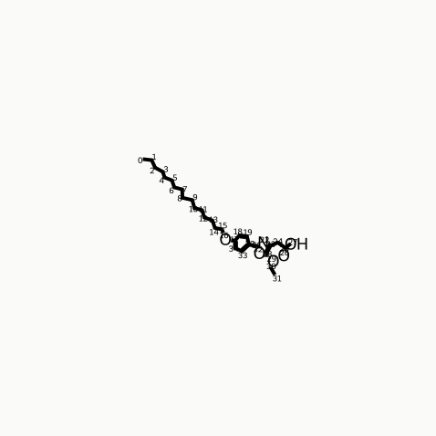 CCCCCCCCCCCCCCCCOc1ccc(-c2nc(CC(=O)O)c(OCC)o2)cc1